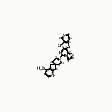 Bc1ccnc2c1CC1(CCN(c3ncc(Sc4ccncc4Cl)c4nccn34)CC1)C2